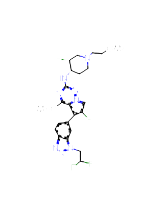 COCCN1CC[C@@H](Nc2nc(OC)c3c(-c4ccc5nnn(CC(F)F)c5c4)c(F)cn3n2)[C@@H](F)C1